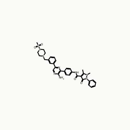 Cc1c(C(=O)Nc2ccc(-c3nc(-c4cccc(CN5CCN(S(C)(=O)=O)CC5)c4)cnc3N)cc2)c(=O)n(-c2ccccc2)n1C